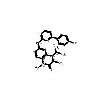 Cc1ccc(-c2ccnc(Nc3ccc4c(c3)N(C(C)C)C(C)C(=O)N4C)n2)cc1